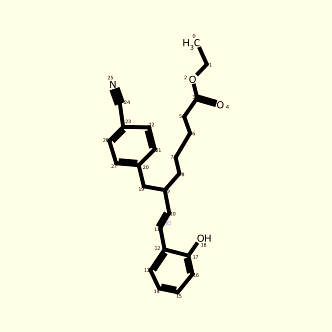 CCOC(=O)CCCCC(/C=C/c1ccccc1O)Cc1ccc(C#N)cc1